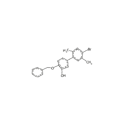 Cc1cc(-c2ccc(OCc3ccccc3)c(O)c2)c(C)cc1Br